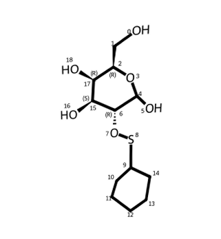 OC[C@H]1OC(O)[C@H](OSC2CCCCC2)[C@@H](O)[C@H]1O